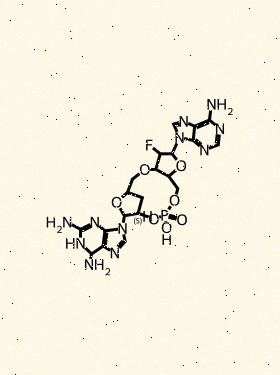 NC1=Nc2c(ncn2C2OC3COC4C(COP(=O)(O)O[C@H]2C3)OC(n2cnc3c(N)ncnc32)C4F)C(N)N1